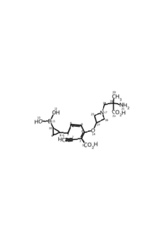 C#C/C(C(=O)O)=C(\C=C/CC1CC1B(O)O)OC1CN(CC(C)(N)C(=O)O)C1